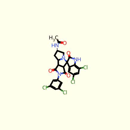 CC(=O)N[C@H]1CC2C3C(=O)N(c4cc(Cl)cc(Cl)c4)C(=O)C3C3(C(=O)Nc4c(Cl)cc(Cl)cc43)N2C1